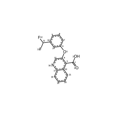 O=C(O)c1c(Oc2cccc(C(F)F)c2)cnc2ccccc12